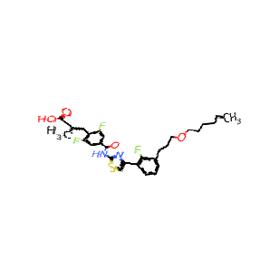 CCCCCCOCCCc1cccc(-c2csc(NC(=O)c3cc(F)c(C=C(C)C(=O)O)c(F)c3)n2)c1F